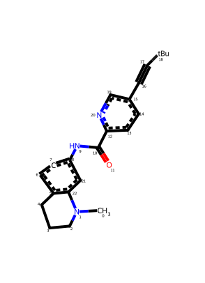 CN1CCCc2ccc(NC(=O)c3ccc(C#CC(C)(C)C)cn3)cc21